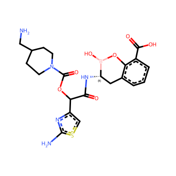 NCC1CCN(C(=O)OC(C(=O)N[C@H]2Cc3cccc(C(=O)O)c3OB2O)c2csc(N)n2)CC1